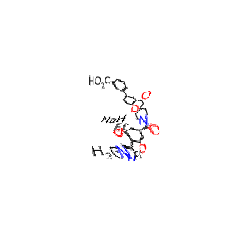 CCOc1cc(C(=O)N2CCC3(CC2)CC(=O)c2cc(-c4cccc(C(=O)O)c4)ccc2O3)cc(OCC)c1-c1cnn(C)c1.[NaH]